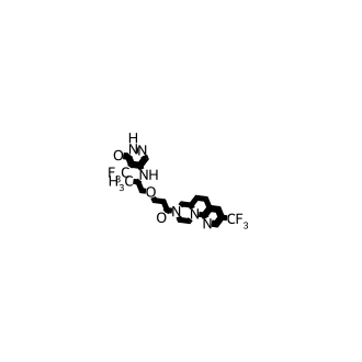 CC(COCCC(=O)N1CCN2c3ncc(C(F)(F)F)cc3CCC2C1)Nc1cn[nH]c(=O)c1C(F)(F)F